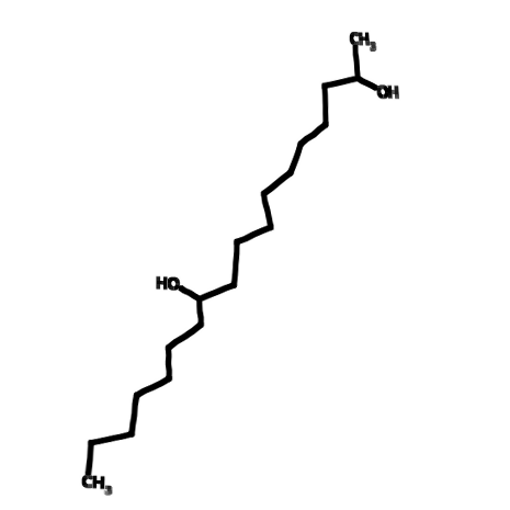 CCCCCCCC(O)CCCCCCCCC(C)O